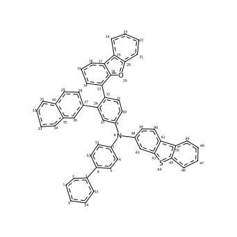 c1ccc(-c2ccc(N(c3ccc(-c4cccc5c4oc4ccccc45)c(-c4ccc5ccccc5c4)c3)c3ccc4c(c3)sc3ccccc34)cc2)cc1